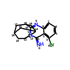 N=c1c2c(Br)cccc2nc2n1C1CC3CC(CC2C3)C1